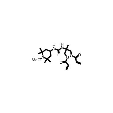 C=CC(=O)OCC(C)(COC(=O)C=C)NC(=O)NC1CC(C)(C)N(OC)C(C)(C)C1